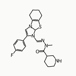 CN(N=CN1C(c2ccc(F)cc2)=CN2C3=C(CCCC3)SC12)C(=O)C1CCCNC1